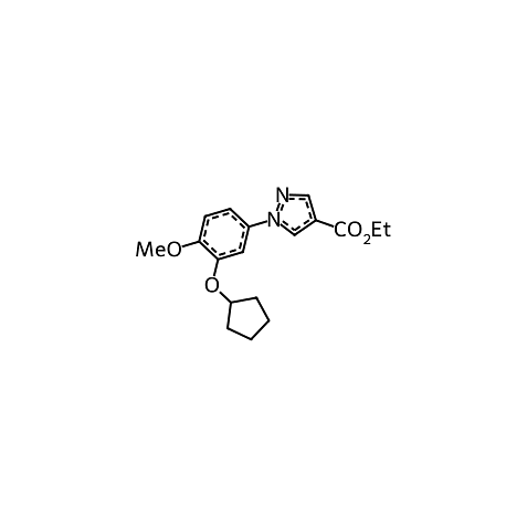 CCOC(=O)c1cnn(-c2ccc(OC)c(OC3CCCC3)c2)c1